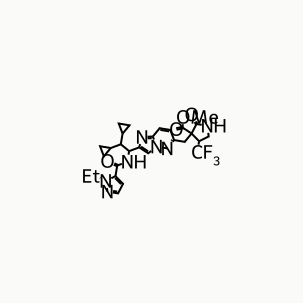 CCn1nccc1C(=O)NC(c1cn2nc(CC3(C(=O)OC)C(=O)NCC3C(F)(F)F)ccc2n1)C(C1CC1)C1CC1